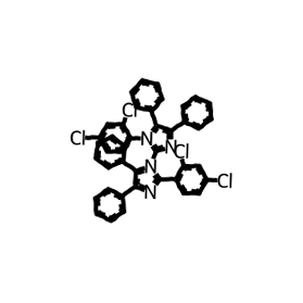 Clc1ccc(-c2nc(-c3ccccc3)c(-c3ccccc3)n2-c2nc(-c3ccccc3)c(-c3ccccc3)n2-c2ccc(Cl)cc2Cl)c(Cl)c1